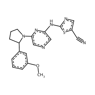 COc1cccc(C2CCCN2c2cncc(Nc3ncc(C#N)s3)n2)c1